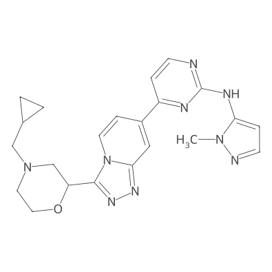 Cn1nccc1Nc1nccc(-c2ccn3c(C4CN(CC5CC5)CCO4)nnc3c2)n1